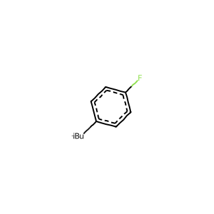 CC[C](C)c1ccc(F)cc1